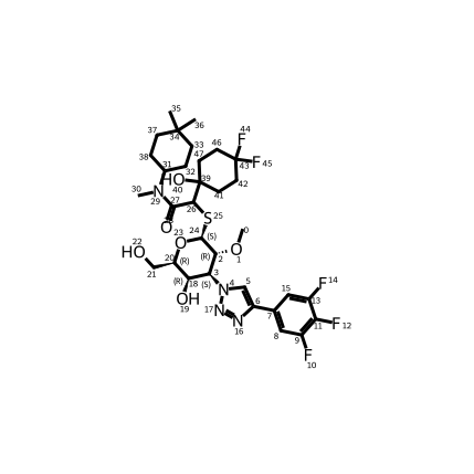 CO[C@@H]1[C@@H](n2cc(-c3cc(F)c(F)c(F)c3)nn2)[C@@H](O)[C@@H](CO)O[C@H]1SC(C(=O)N(C)C1CCC(C)(C)CC1)C1(O)CCC(F)(F)CC1